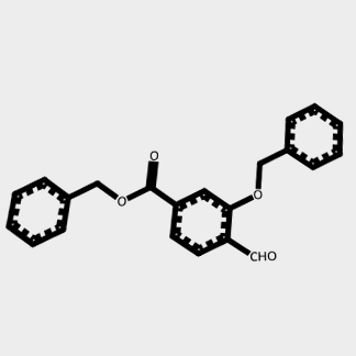 O=Cc1ccc(C(=O)OCc2ccccc2)cc1OCc1ccccc1